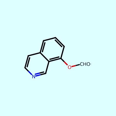 O=[C]Oc1cccc2ccncc12